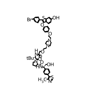 Cc1ncsc1-c1ccc([C@H](CO)NC(=O)[C@@H]2CCCN2C(=O)[C@@H](NC(=O)COCCN2CCN(CCOc3ccc(Oc4c(-c5ccc(Br)cc5)sc5cc(O)ccc45)cc3)CC2)C(C)(C)C)cc1